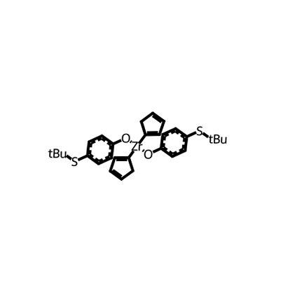 CC(C)(C)Sc1ccc([O][Zr]([O]c2ccc(SC(C)(C)C)cc2)([C]2=CC=CC2)[C]2=CC=CC2)cc1